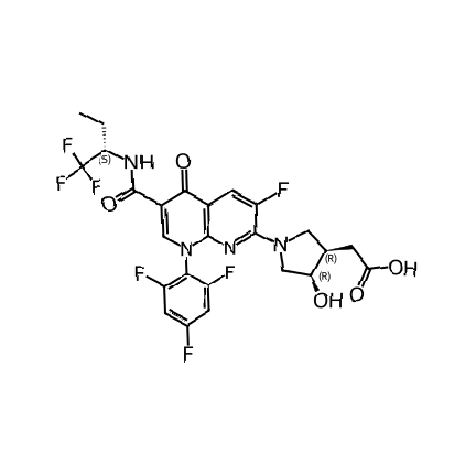 CC[C@H](NC(=O)c1cn(-c2c(F)cc(F)cc2F)c2nc(N3C[C@@H](CC(=O)O)[C@@H](O)C3)c(F)cc2c1=O)C(F)(F)F